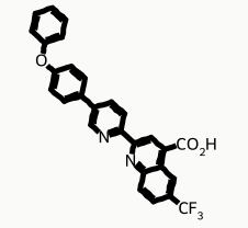 O=C(O)c1cc(-c2ccc(-c3ccc(Oc4ccccc4)cc3)cn2)nc2ccc(C(F)(F)F)cc12